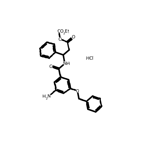 CCOC(=O)OC(=O)CC(NC(=O)c1cc(N)cc(OCc2ccccc2)c1)c1ccccc1.Cl